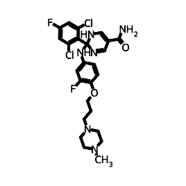 CN1CCN(CCCOc2ccc(NC3(c4c(Cl)cc(F)cc4Cl)N=CC(C(N)=O)=CN3)cc2F)CC1